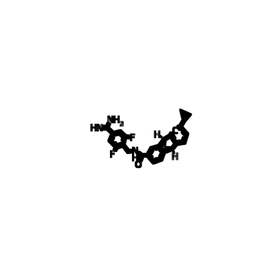 N=C(N)c1cc(F)c(CNC(=O)c2ccc3c(c2)[C@@H]2O[C@H]3c3ccc(C4CC4)cc32)c(F)c1